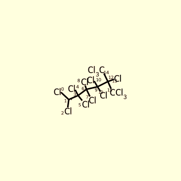 Cl[C](Cl)C(Cl)(Cl)C(Cl)(Cl)C(Cl)(Cl)C(Cl)(C(Cl)(Cl)Cl)C(Cl)(Cl)Cl